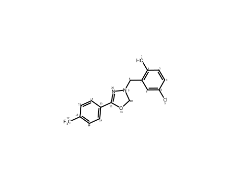 Oc1ccc(Cl)cc1CN1COC(c2ccc(C(F)(F)F)cc2)=N1